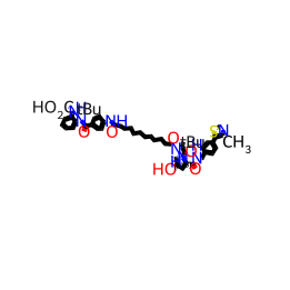 Cc1ncsc1-c1ccc(CNC(=O)[C@@H]2C[C@@H](O)CN2C(=O)C(NC(=O)CCCCCCCCCCC(=O)Nc2ccc(C(=O)Nc3ccccc3N(C(=O)O)C(C)(C)C)cc2)C(C)(C)C)cc1